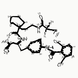 O=C(Nc1ccc(C[C@H](NC(=O)C2(CCNC(=O)C(F)(F)F)CCCC2)C(=O)O)cc1)c1c(Cl)cccc1Cl